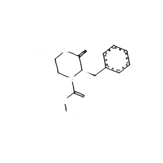 CC(C)(C)OC(=O)N1C[C@H](C(=O)O)NC(=O)[C@H]1Cc1ccccc1